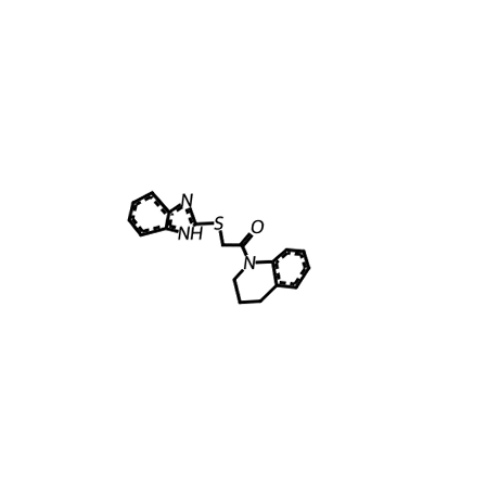 O=C(CSc1nc2ccccc2[nH]1)N1CCCc2ccccc21